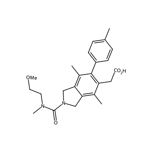 COCCN(C)C(=O)N1Cc2c(C)c(CC(=O)O)c(-c3ccc(C)cc3)c(C)c2C1